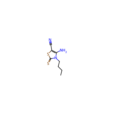 CCCCn1c(N)c(C#N)sc1=S